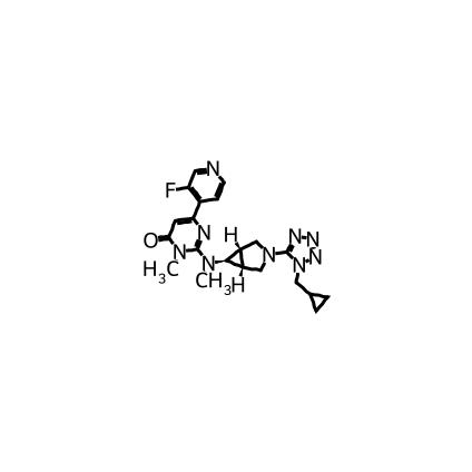 CN(c1nc(-c2ccncc2F)cc(=O)n1C)[C@H]1[C@@H]2CN(c3nnnn3CC3CC3)C[C@@H]21